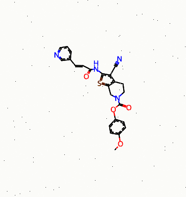 COc1ccc(OC(=O)N2CCc3c(sc(NC(=O)C=Cc4cccnc4)c3C#N)C2)cc1